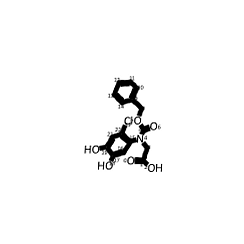 O=C(O)CN(C(=O)OCc1ccccc1)c1cc(O)c(O)cc1Cl